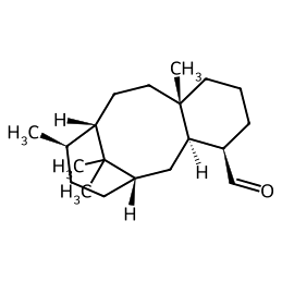 C[C@@H]1CC[C@H]2C[C@@H]3[C@H](C=O)CCC[C@@]3(C)CC[C@@H]1C2(C)C